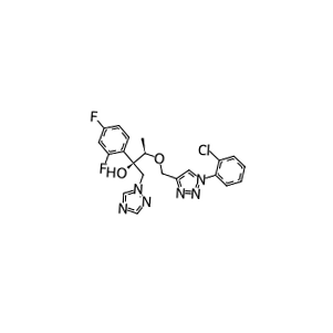 C[C@@H](OCc1cn(-c2ccccc2Cl)nn1)[C@](O)(Cn1cncn1)c1ccc(F)cc1F